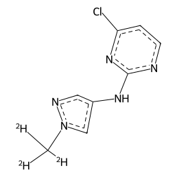 [2H]C([2H])([2H])n1cc(Nc2nccc(Cl)n2)cn1